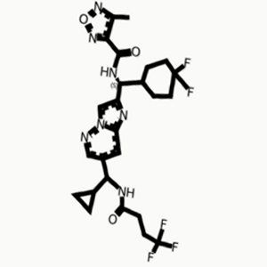 Cc1nonc1C(=O)N[C@H](c1cn2ncc(C(NC(=O)CCC(F)(F)F)C3CC3)cc2n1)C1CCC(F)(F)CC1